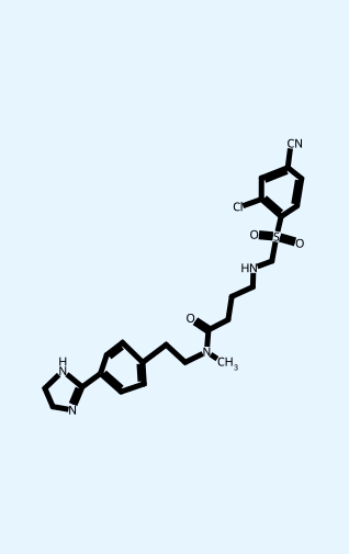 CN(CCc1ccc(C2=NCCN2)cc1)C(=O)CCCNCS(=O)(=O)c1ccc(C#N)cc1Cl